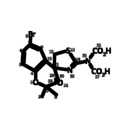 CC1(C)Oc2ccc(Br)cc2C2(CSC(N(C(=O)O)C(=O)O)=N2)C12COC2